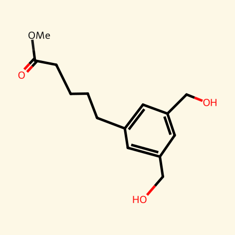 COC(=O)CCCCc1cc(CO)cc(CO)c1